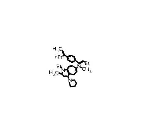 C=C1C=C(N2CCCCC2)C2=C(C=CC(N(C)/C(=C\CC)c3ccc(/C(=C/C)CCC)cc3)=CC2)N1CC